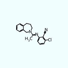 CC(=Nc1cccc(Cl)c1C#N)N1CCCc2ccccc2C1